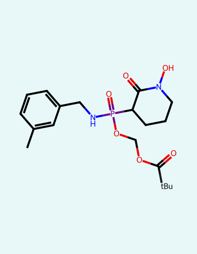 Cc1cccc(CNP(=O)(OCOC(=O)C(C)(C)C)C2CCCN(O)C2=O)c1